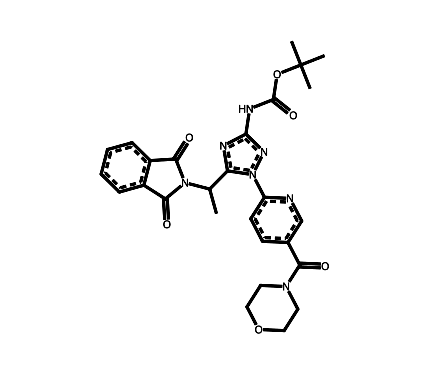 CC(c1nc(NC(=O)OC(C)(C)C)nn1-c1ccc(C(=O)N2CCOCC2)cn1)N1C(=O)c2ccccc2C1=O